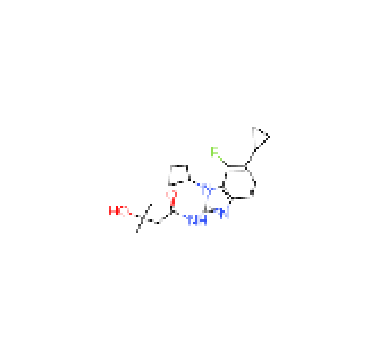 CC(C)(O)CC(=O)Nc1nc2ccc(C3CC3)c(F)c2n1C1CCC1